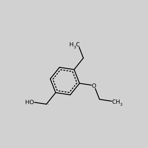 CCOc1cc([CH]O)ccc1CC